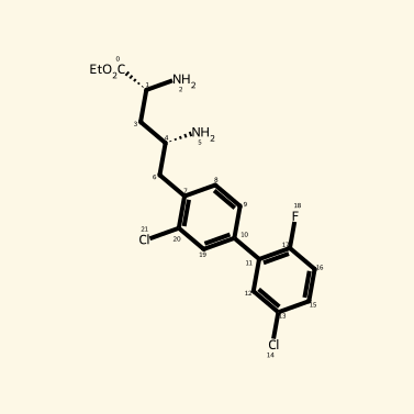 CCOC(=O)[C@H](N)C[C@H](N)Cc1ccc(-c2cc(Cl)ccc2F)cc1Cl